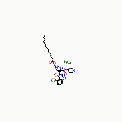 CCCCCCCCCCCC(=O)OCn1cc(NC(=O)c2c(Cl)cccc2Cl)c(C(=O)NC2CCNCC2)n1.Cl